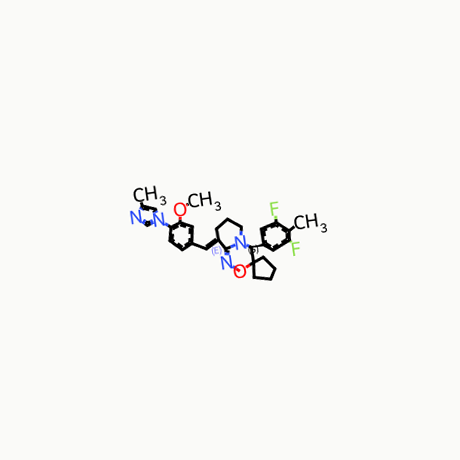 COc1cc(/C=C2\CCCN3C2=NOC2(CCCC2)[C@@H]3c2cc(F)c(C)c(F)c2)ccc1-n1cnc(C)c1